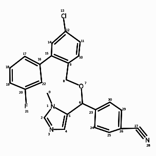 Cn1cncc1C(OCc1ccc(Cl)cc1-c1cccc(F)c1)c1ccc(C#N)cc1